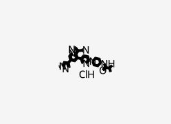 CC(C)C(=O)NC1CCN(c2ccc(-c3cc(-c4cnn(C)c4)cn4ncc(C#N)c34)cn2)CC1.Cl